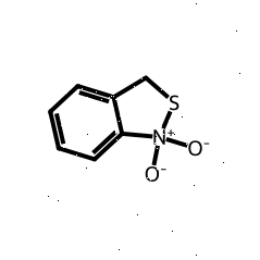 [O-][N+]1([O-])SCc2ccccc21